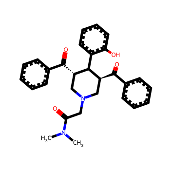 CN(C)C(=O)CN1C[C@H](C(=O)c2ccccc2)C(c2ccccc2O)[C@@H](C(=O)c2ccccc2)C1